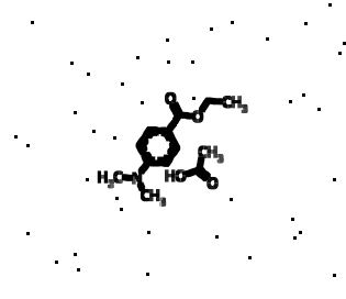 CC(=O)O.CCOC(=O)c1ccc(N(C)C)cc1